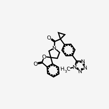 Cn1nnnc1-c1ccc(C2(C(=O)N3CCC4(C3)OC(=O)c3ccccc34)CC2)cc1